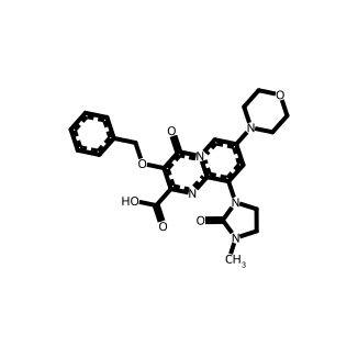 CN1CCN(c2cc(N3CCOCC3)cn3c(=O)c(OCc4ccccc4)c(C(=O)O)nc23)C1=O